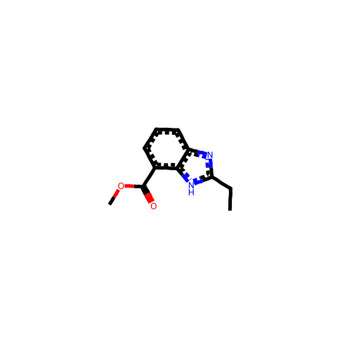 CCc1nc2cccc(C(=O)OC)c2[nH]1